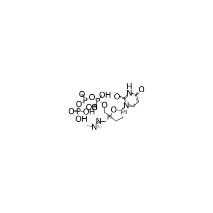 C/N=N/C[C@@]1(COP(=O)(O)OP(=O)(O)OP(=O)(O)O)CC[C@H](n2ccc(=O)[nH]c2=O)O1